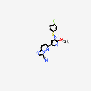 COc1ncc(-c2ccc3ncc(C#N)n3n2)cc1NSc1ccc(F)cc1